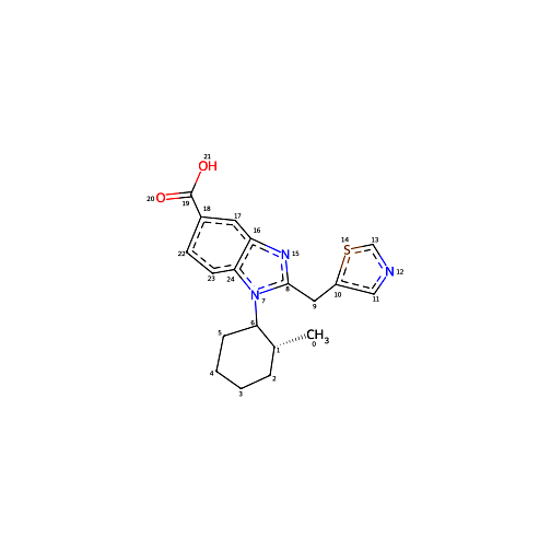 C[C@@H]1CCCCC1n1c(Cc2cncs2)nc2cc(C(=O)O)ccc21